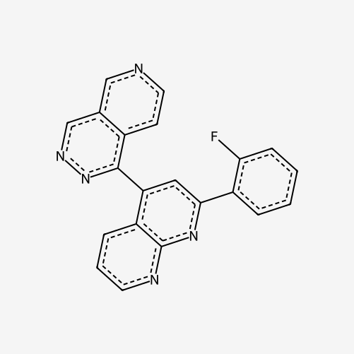 Fc1ccccc1-c1cc(-c2nncc3cnccc23)c2cccnc2n1